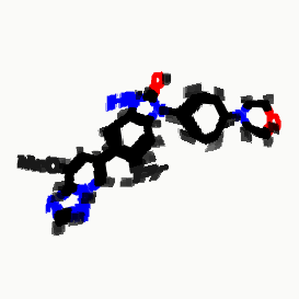 COc1cc(-c2cc3[nH]c(=O)n(C4CCC(N5CCOCC5)CC4)c3cc2C(C)C)cn2ncnc12